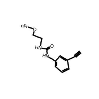 C#Cc1cccc(NC(=O)NCCOCCC)c1